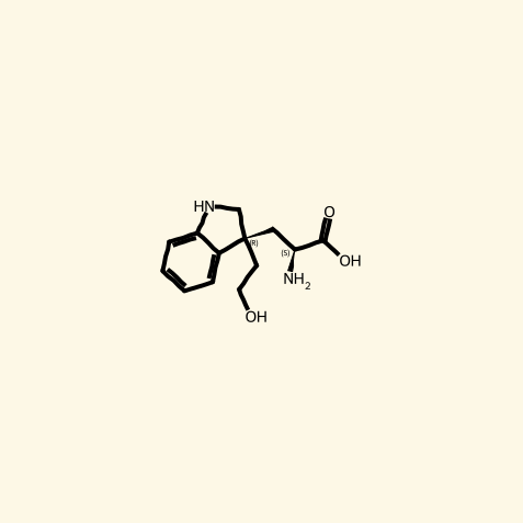 N[C@@H](C[C@]1(CCO)CNc2ccccc21)C(=O)O